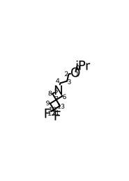 CC(C)OCCCN1CC2(C1)CC(F)(F)C2